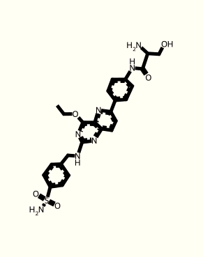 CCOc1nc(NCc2ccc(S(N)(=O)=O)cc2)nc2ccc(-c3ccc(NC(=O)C(N)CO)cc3)nc12